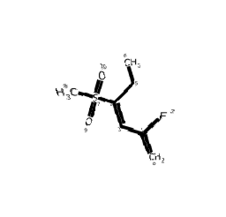 C=C(F)/C=C(\CC)S(C)(=O)=O